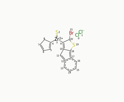 [Cl-].[Cl-].[S]=[Zr+2]([C]1=CC=CC1)[C]1=C2C=c3ccccc3=C2SC1Br